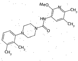 COc1nc(C)c(C)cc1NC(=O)N1CCN(c2cccc(C)c2C)CC1